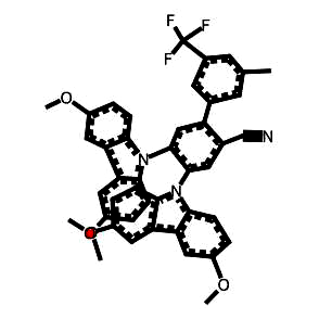 COc1ccc2c(c1)c1cc(OC)ccc1n2-c1cc(C#N)c(-c2cc(C)cc(C(F)(F)F)c2)cc1-n1c2ccc(OC)cc2c2cc(OC)ccc21